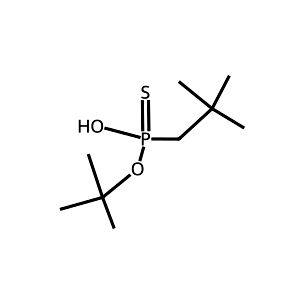 CC(C)(C)CP(O)(=S)OC(C)(C)C